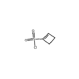 O=S(=O)(Cl)C1=CCC1